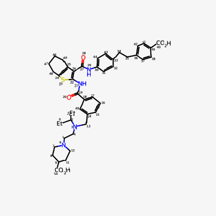 CCC(CC)N(CCN1CCC(C(=O)O)CC1)Cc1cccc(C(=O)Nc2sc3c(c2C(=O)Nc2ccc(CCc4ccc(C(=O)O)cc4)cc2)CCCC3)c1